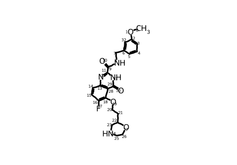 COc1cccc(CNC(=O)c2nc3ccc(F)c(OCCC4CNCCO4)c3c(=O)[nH]2)c1